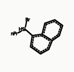 CCC[SiH](Br)c1cccc2ccccc12